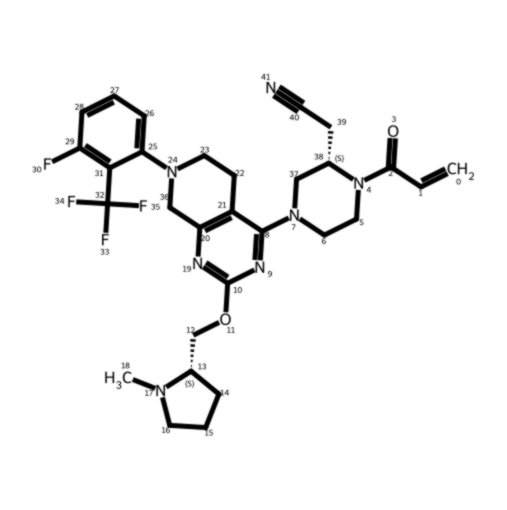 C=CC(=O)N1CCN(c2nc(OC[C@@H]3CCCN3C)nc3c2CCN(c2cccc(F)c2C(F)(F)F)C3)C[C@@H]1CC#N